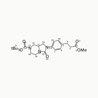 COC(=O)CCc1ccc(N2CC3CN(C(=O)OC(C)(C)C)CCN3C2=O)cc1